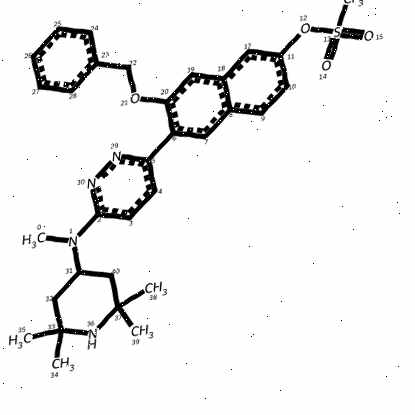 CN(c1ccc(-c2cc3ccc(OS(=O)(=O)C(F)(F)F)cc3cc2OCc2ccccc2)nn1)C1CC(C)(C)NC(C)(C)C1